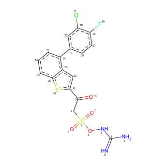 N=C(N)NOS(=O)(=O)CC(=O)c1cc2c(-c3ccc(F)c(Cl)c3)cccc2s1